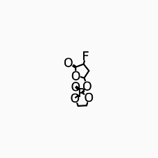 O=C1OC(OP2(=O)OCCO2)CC1F